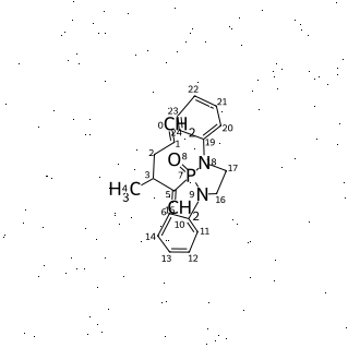 C=CCC(C)C(=C)P1(=O)N(c2ccccc2)CCN1c1ccccc1